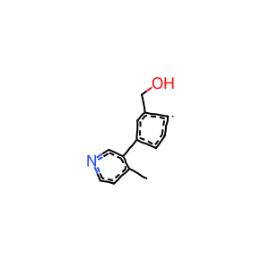 Cc1ccncc1-c1cc[c]c(CO)c1